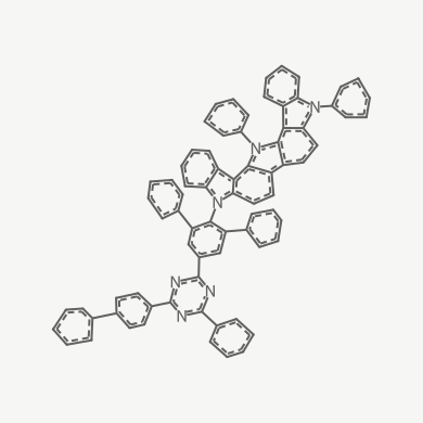 c1ccc(-c2ccc(-c3nc(-c4ccccc4)nc(-c4cc(-c5ccccc5)c(-n5c6ccccc6c6c5ccc5c7ccc8c(c9ccccc9n8-c8ccccc8)c7n(-c7ccccc7)c56)c(-c5ccccc5)c4)n3)cc2)cc1